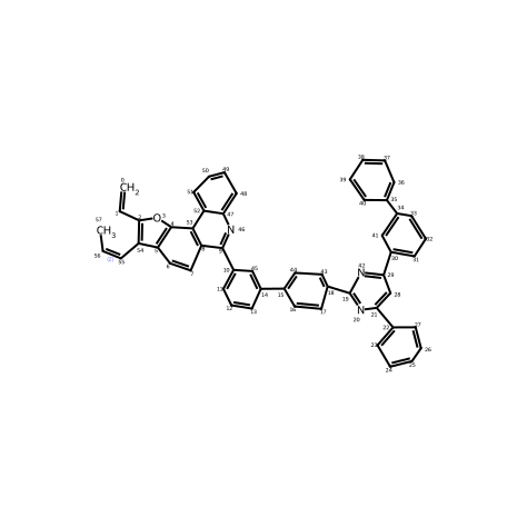 C=Cc1oc2c(ccc3c(-c4cccc(-c5ccc(-c6nc(-c7ccccc7)cc(-c7cccc(-c8ccccc8)c7)n6)cc5)c4)nc4ccccc4c32)c1/C=C\C